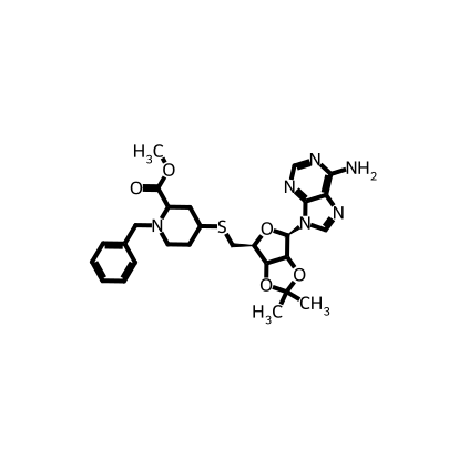 COC(=O)C1CC(SC[C@H]2O[C@@H](n3cnc4c(N)ncnc43)C3OC(C)(C)OC32)CCN1Cc1ccccc1